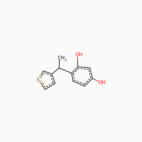 CC(c1ccsc1)c1ccc(O)cc1O